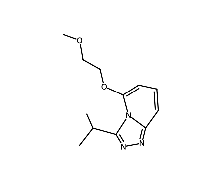 COCCOc1cccc2nnc(C(C)C)n12